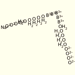 O.O.O.O.O.O.O.O.O.O.[B+3].[B+3].[B+3].[B+3].[B+3].[Na+].[O-2].[O-2].[O-2].[O-2].[O-2].[O-2].[O-2].[O-2]